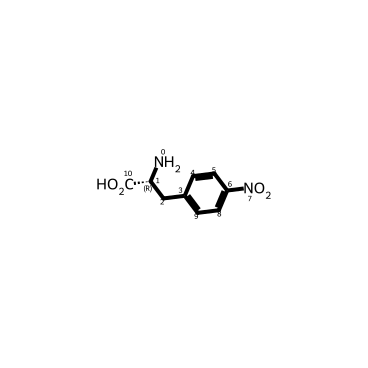 N[C@H](Cc1ccc([N+](=O)[O-])cc1)C(=O)O